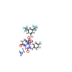 CN(C)CC[C@H]1C(=O)N(Cc2ccc(F)cc2)C[C@@H]2N(C(=O)OCc3cc(C(F)(F)F)cc(C(F)(F)F)c3)CCC(=O)N21